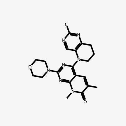 Cc1cc2c(N3CCCc4nc(Cl)ncc43)nc(N3CCOCC3)nc2n(C)c1=O